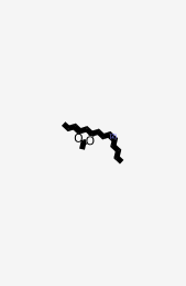 CCC=CCC(CC/C=C\CCCC)OC(C)=O